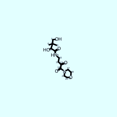 CC(C)(CO)C(O)C(=O)NCCC(=O)C(=O)N1CCOCC1